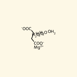 O.O.O.O.O=C([O-])CCC(=O)[O-].[Mg+2]